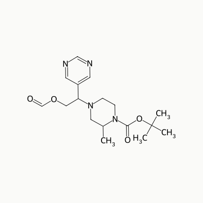 CC1CN(C(COC=O)c2cncnc2)CCN1C(=O)OC(C)(C)C